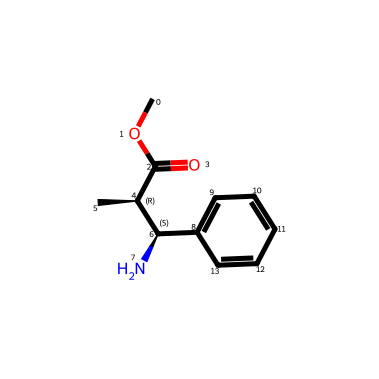 COC(=O)[C@H](C)[C@H](N)c1ccccc1